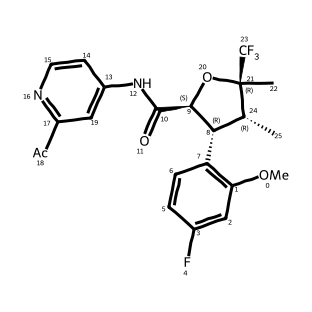 COc1cc(F)ccc1[C@@H]1[C@@H](C(=O)Nc2ccnc(C(C)=O)c2)O[C@@](C)(C(F)(F)F)[C@@H]1C